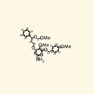 COCOC(CCOc1nc(N)nc(OCc2ccc(OC)cc2)c1OC)c1ccccc1